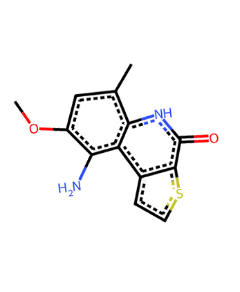 COc1cc(C)c2[nH]c(=O)c3sccc3c2c1N